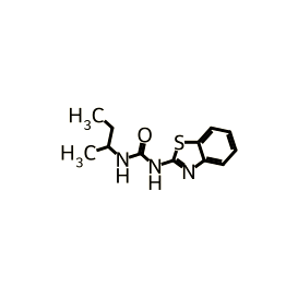 CCC(C)NC(=O)Nc1nc2ccccc2s1